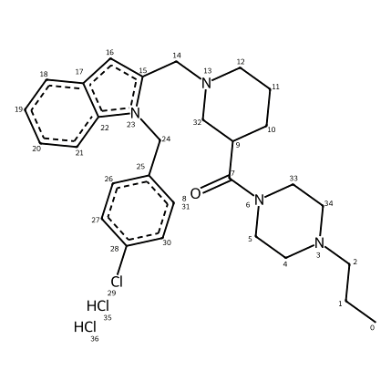 CCCN1CCN(C(=O)C2CCCN(Cc3cc4ccccc4n3Cc3ccc(Cl)cc3)C2)CC1.Cl.Cl